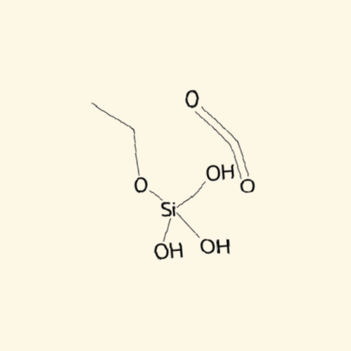 CCO[Si](O)(O)O.O=C=O